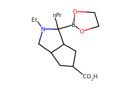 CCCC1(B2OCCO2)C2CC(C(=O)O)CC2CN1CC